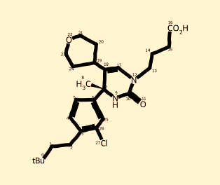 CC(C)(C)CCc1ccc([C@@]2(C)NC(=O)N(CCCC(=O)O)C=C2C2CCOCC2)cc1Cl